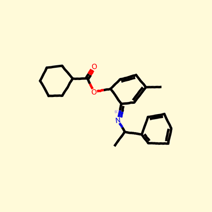 CC1=C/C(=N\C(C)c2ccccc2)C(OC(=O)C2CCCCC2)C=C1